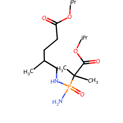 CC(CCC(=O)OC(C)C)CNP(N)(=O)C(C)(C)C(=O)OC(C)C